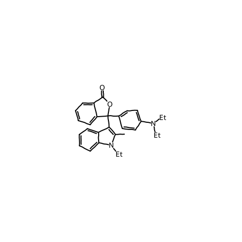 CCN(CC)c1ccc(C2(c3c(C)n(CC)c4ccccc34)OC(=O)c3ccccc32)cc1